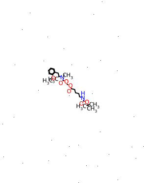 COc1ccccc1CC(C)N(C)C(=O)OCOC(=O)CCCCNC(=O)OC(C)(C)C